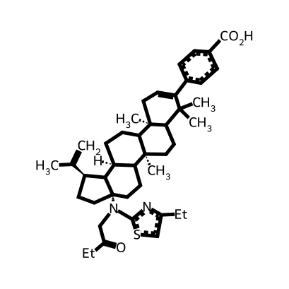 C=C(C)[C@@H]1CC[C@]2(N(CC(=O)CC)c3nc(CC)cs3)CCC3[C@H](CCC4[C@@]3(C)CCC3C(C)(C)C(c5ccc(C(=O)O)cc5)=CC[C@@]34C)C12